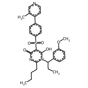 CCCCc1nc(=O)c(S(=O)(=O)c2ccc(-c3ccncc3C)cc2)c(O)n1C(CC)c1cccc(OC)c1